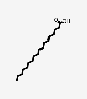 CCCCCCCCCC=CCC=CCCCC(=O)O